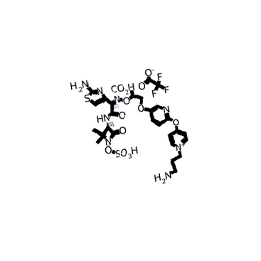 CC1(C)[C@H](NC(=O)/C(=N\OC(COc2ccc(Oc3cc[n+](CCCN)cc3)nc2)C(=O)O)c2csc(N)n2)C(=O)N1OS(=O)(=O)O.O=C([O-])C(F)(F)F